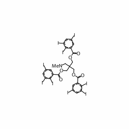 CNCC(COC(=O)c1cc(I)cc(I)c1I)(COC(=O)c1cc(I)cc(I)c1I)COC(=O)c1cc(I)cc(I)c1I